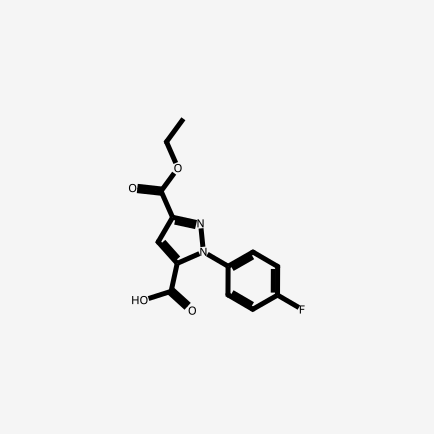 CCOC(=O)c1cc(C(=O)O)n(-c2ccc(F)cc2)n1